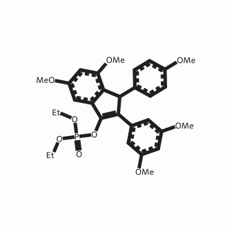 CCOP(=O)(OCC)OC1=C(c2cc(OC)cc(OC)c2)C(c2ccc(OC)cc2)c2c(OC)cc(OC)cc21